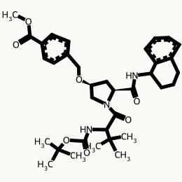 COC(=O)c1ccc(CO[C@H]2C[C@@H](C(=O)NC3CCCc4ccccc43)N(C(=O)C(NC(=O)OC(C)(C)C)C(C)(C)C)C2)cc1